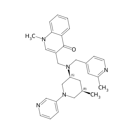 Cc1cc(CN(Cc2cn(C)c3ccccc3c2=O)[C@H]2C[C@@H](C)CN(c3cccnc3)C2)ccn1